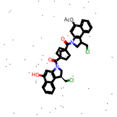 CC(=O)Oc1cc2c(c3ccccc13)C(CCl)CN2C(=O)C12CCC(C(=O)N3C[C@@H](CCl)c4c3cc(O)c3ccccc43)(CC1)C2